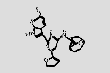 Fc1ccc2c(C3=NC(c4ccco4)=CC(NC4CC5CCC4CC5)N3)c[nH]c2n1